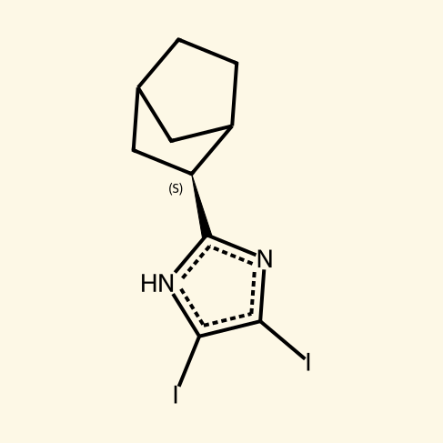 Ic1nc([C@H]2CC3CCC2C3)[nH]c1I